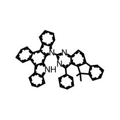 CC1(C)c2ccccc2-c2ccc3nc(-n4c5ccccc5c5c6ccccc6c6c7ccccc7[nH]c6c54)nc(-c4ccccc4)c3c21